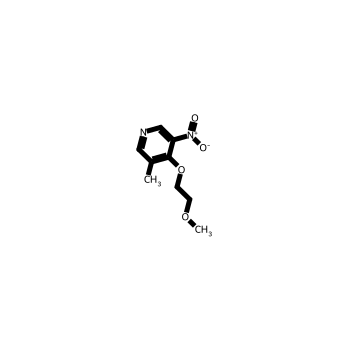 COCCOc1c(C)cncc1[N+](=O)[O-]